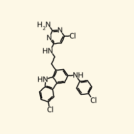 Nc1nc(Cl)cc(NCCc2cc(Nc3ccc(Cl)cc3)cc3c2[nH]c2ccc(Cl)cc23)n1